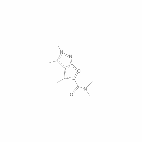 Cc1c(C(=O)N(C)C)oc2nn(C)c(C)c12